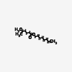 C=C(C)CCCC(=O)OCCCCCCCC